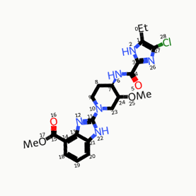 CCc1[nH]c(C(=O)N[C@@H]2CCN(c3nc4c(C(=O)OC)cccc4[nH]3)CC2OC)nc1Cl